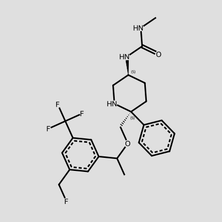 CNC(=O)N[C@H]1CC[C@@](COC(C)c2cc(CF)cc(C(F)(F)F)c2)(c2ccccc2)NC1